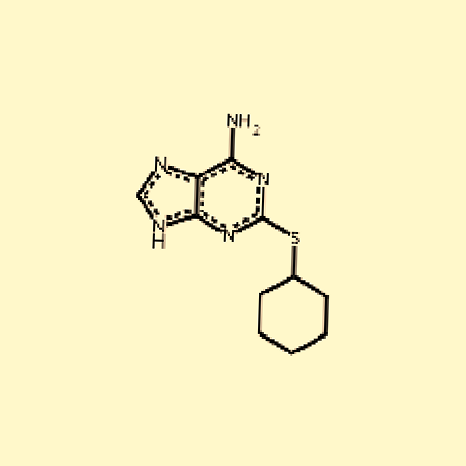 Nc1nc(SC2CCCCC2)nc2[nH]cnc12